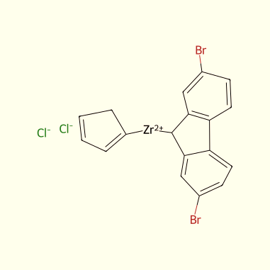 Brc1ccc2c(c1)[CH]([Zr+2][C]1=CC=CC1)c1cc(Br)ccc1-2.[Cl-].[Cl-]